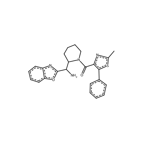 Cc1nc(C(=O)N2CCCCC2C(N)c2nc3ccccc3o2)c(-c2ccccc2)s1